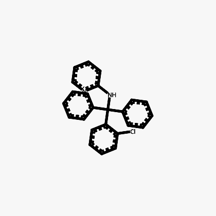 Clc1ccccc1C(Nc1ccccn1)(c1ccccc1)c1ccccc1